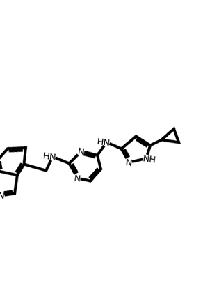 c1cc(CNc2nccc(Nc3cc(C4CC4)[nH]n3)n2)c2cn[nH]c2c1